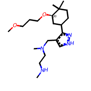 CNCCN(C)Cc1c[nH]nc1C1CCC(C)(C)[C@H](OCCCOC)C1